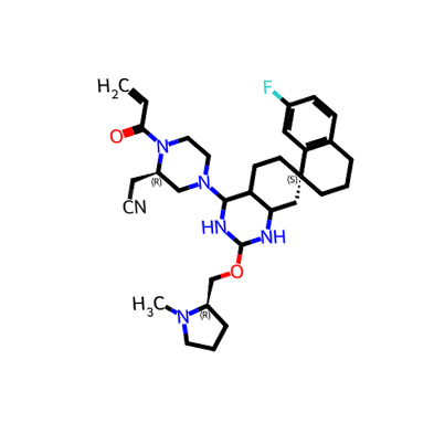 C=CC(=O)N1CCN(C2NC(OC[C@H]3CCCN3C)NC3C[C@]4(CCCc5ccc(F)cc54)CCC32)C[C@H]1CC#N